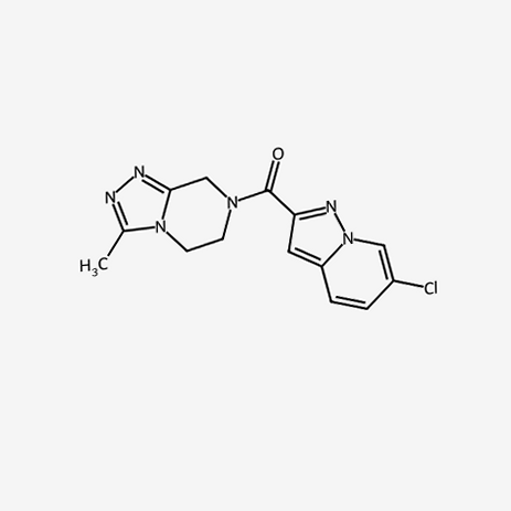 Cc1nnc2n1CCN(C(=O)c1cc3ccc(Cl)cn3n1)C2